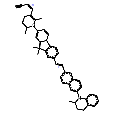 C#C/C=C\C1=C(C)N(C2=CC3C(C=C2)c2ccc(/C=C/c4ccc5cc(N6c7ccccc7CCC6C)ccc5c4)cc2C3(C)C)C(C)CC1